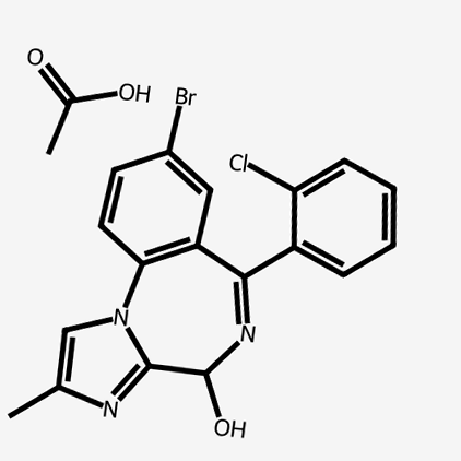 CC(=O)O.Cc1cn2c(n1)C(O)N=C(c1ccccc1Cl)c1cc(Br)ccc1-2